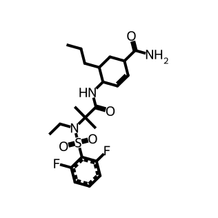 CCCC1CC(C(N)=O)C=CC1NC(=O)C(C)(C)N(CC)S(=O)(=O)c1c(F)cccc1F